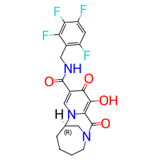 O=C(NCc1c(F)cc(F)c(F)c1F)c1cn2c(c(O)c1=O)C(=O)N1CCCC[C@@H]2C1